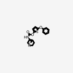 O=C(NC1CN2CCC1CC2)Oc1ccc(Oc2ccccc2)s1